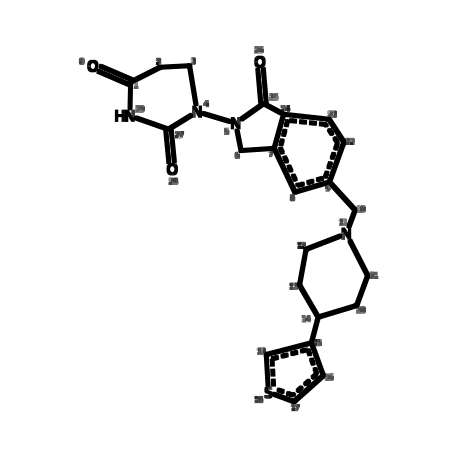 O=C1CCN(N2Cc3cc(CN4CCC(c5ccsc5)CC4)ccc3C2=O)C(=O)N1